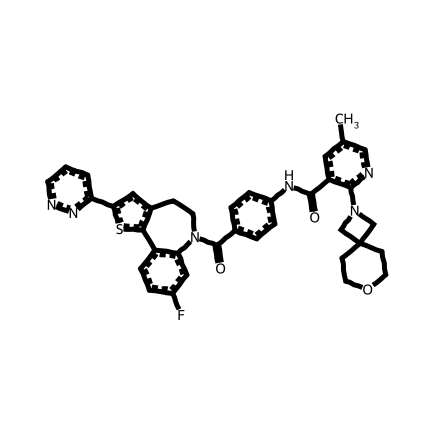 Cc1cnc(N2CC3(CCOCC3)C2)c(C(=O)Nc2ccc(C(=O)N3CCc4cc(-c5cccnn5)sc4-c4ccc(F)cc43)cc2)c1